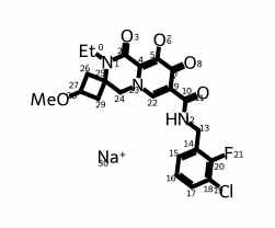 CCN1C(=O)c2c([O-])c(=O)c(C(=O)NCc3cccc(Cl)c3F)cn2CC12CC(OC)C2.[Na+]